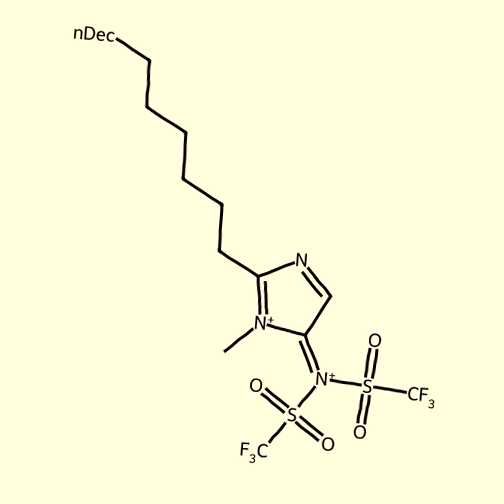 CCCCCCCCCCCCCCCCC1=[N+](C)C(=[N+](S(=O)(=O)C(F)(F)F)S(=O)(=O)C(F)(F)F)C=N1